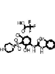 O=C(Nc1ccccc1Br)Nc1ccc(Cl)c(S(=O)(=O)N2CCNCC2)c1O.O=C(O)C(F)(F)F